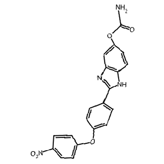 NC(=O)Oc1ccc2[nH]c(-c3ccc(Oc4ccc([N+](=O)[O-])cc4)cc3)nc2c1